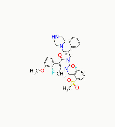 COc1cccc(-c2c(C)n(Cc3c(F)cccc3S(C)(=O)=O)c(=O)n(C[C@@H](CN3CCNCC3)c3ccccc3)c2=O)c1F